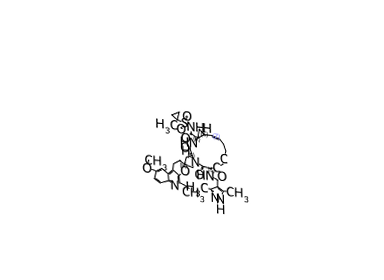 CCc1nc2ccc(OC)cc2c2c1O[C@]1(CC2)C[C@H]2C(=O)N[C@]3(C(=O)NS(=O)(=O)C4(C)CC4)C[C@H]3/C=C\CCCCC[C@H](NC(=O)c3c(C)n[nH]c3C)C(=O)N2C1